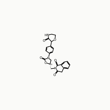 O=C1NCCOC1c1ccc(N2C[C@H](CN3C(=O)Cc4ccccc4C3=O)OC2=O)cc1